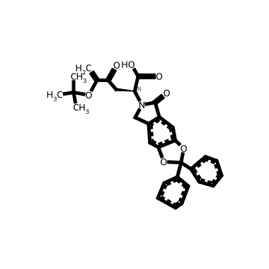 C=C(OC(C)(C)C)C(=O)C[C@@H](C(=O)O)N1Cc2cc3c(cc2C1=O)OC(c1ccccc1)(c1ccccc1)O3